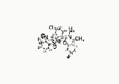 CC(c1ccc(F)cc1)N(C)C(=O)c1ccc(Cl)cc1NS(=O)(=O)c1cccc2nsnc12